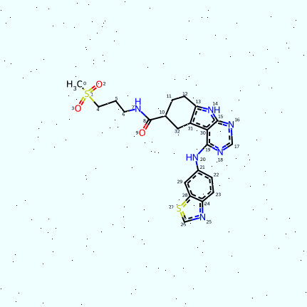 CS(=O)(=O)CCCNC(=O)C1CCc2[nH]c3ncnc(Nc4ccc5ncsc5c4)c3c2C1